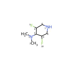 CN(C)C1C(F)CNCC1F